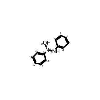 ON(Nc1ccccc1)c1ccccc1